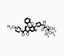 CN1CCN(C(=O)c2cn3c4c(c(N5CCC(NC(=O)OC(C)(C)C)C5)c(F)cc4c2=O)Oc2ccccc2-3)CC1